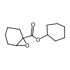 O=C(OC1CCCCC1)C12CCCCC1O2